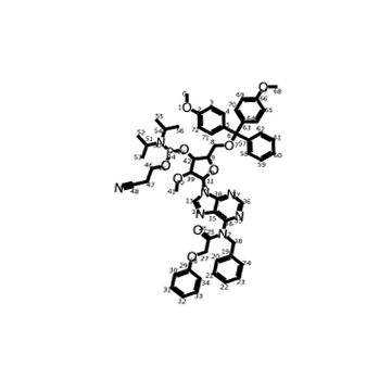 COc1ccc(C(OCC2OC(n3cnc4c(N(Cc5ccccc5)C(=O)COc5ccccc5)ncnc43)C(OC)C2OP(OCCC#N)N(C(C)C)C(C)C)(c2ccccc2)c2ccc(OC)cc2)cc1